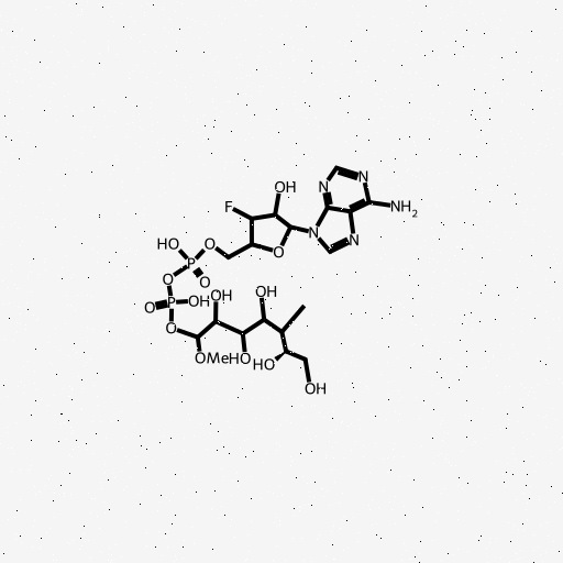 COC(OP(=O)(O)OP(=O)(O)OCC1OC(n2cnc3c(N)ncnc32)C(O)C1F)C(O)C(O)C(O)C(C)[C@H](O)CO